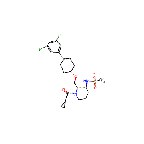 CS(=O)(=O)N[C@H]1CCCN(C(=O)C2CC2)[C@H]1CO[C@H]1CC[C@@H](c2cc(F)cc(F)c2)CC1